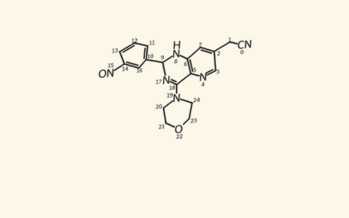 N#CCc1cnc2c(c1)NC(c1cccc(N=O)c1)N=C2N1CCOCC1